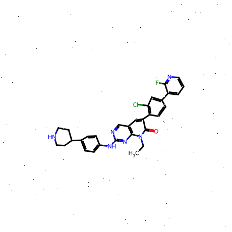 CCn1c(=O)c(-c2ccc(-c3cccnc3F)cc2Cl)cc2cnc(Nc3ccc(C4CCNCC4)cc3)nc21